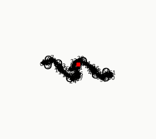 C=CC(=O)OC(C)(C)CCOC(C)(C)C(C)(C)CCCCOC(C)(C)CC1(C)CC(C2CCC(C)(CC(C)(C)OCCCCC(C)(C)C(C)(C)OCCC(C)(C)OC(=O)C(=C)C)CC2C=C)C1